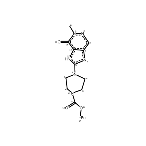 Cn1ncc2nc(N3CCN(C(=O)OC(C)(C)C)CC3)[nH]c2c1=O